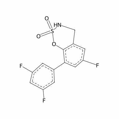 O=S1(=O)NCc2cc(F)cc(-c3cc(F)cc(F)c3)c2O1